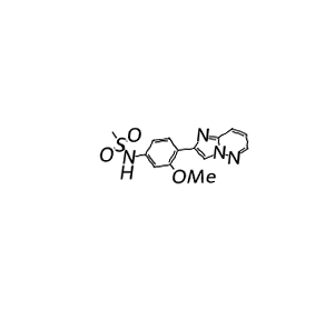 COc1cc(NS(C)(=O)=O)ccc1-c1cn2ncccc2n1